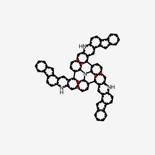 c1ccc(N(c2ccccc2-c2cccc3[nH]c4ccc5c6ccccc6cc5c4cc23)c2ccccc2-c2cccc3[nH]c4ccc5c6ccccc6cc5c4cc23)c(-c2cccc3[nH]c4ccc5c6ccccc6cc5c4cc23)c1